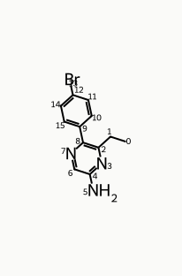 CCc1nc(N)cnc1-c1ccc(Br)cc1